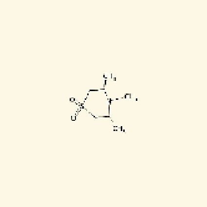 C[C@@H]1CS(=O)(=O)C[C@@H](C)N1C